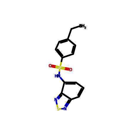 BCc1ccc(S(=O)(=O)Nc2cccc3nsnc23)cc1